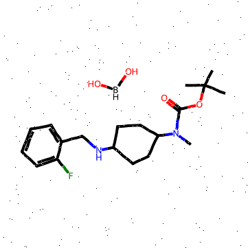 CN(C(=O)OC(C)(C)C)C1CCC(NCc2ccccc2F)CC1.OBO